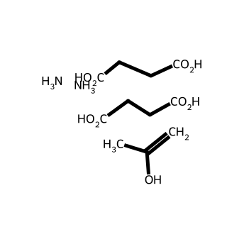 C=C(C)O.N.N.O=C(O)CCC(=O)O.O=C(O)CCC(=O)O